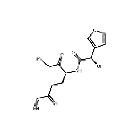 CC(C)OC(=O)[C@H](CCC(=O)C=N)NC(=O)[C@H](O)c1ccoc1